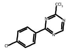 Clc1ccc(-c2ncnc(C(Cl)(Cl)Cl)n2)cc1